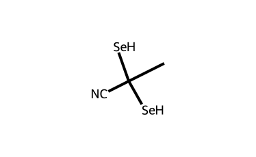 CC([SeH])([SeH])C#N